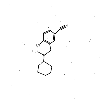 CN(Cc1cc(C#N)ccc1N)C1CCCCC1